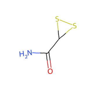 NC(=O)C1SS1